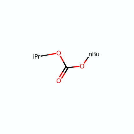 CCC[CH]OC(=O)OC(C)C